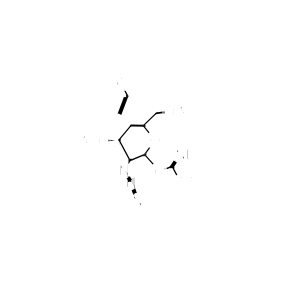 CC=C[C@@H]1C(COC(C)=O)OC(OC(=N)C(Cl)(Cl)Cl)C(N=[N+]=[N-])[C@H]1OC(C)=O